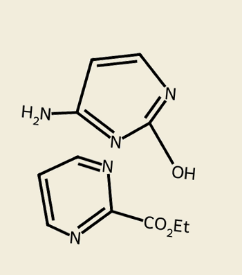 CCOC(=O)c1ncccn1.Nc1ccnc(O)n1